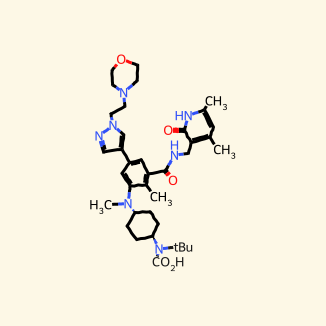 Cc1cc(C)c(CNC(=O)c2cc(-c3cnn(CCN4CCOCC4)c3)cc(N(C)[C@H]3CC[C@H](N(C(=O)O)C(C)(C)C)CC3)c2C)c(=O)[nH]1